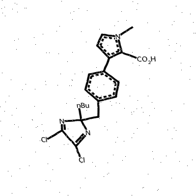 CCCCC1(Cc2ccc(-c3ccn(C)c3C(=O)O)cc2)N=C(Cl)C(Cl)=N1